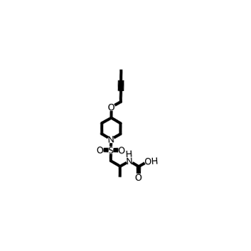 CC#CCOC1CCN(S(=O)(=O)CC(C)NC(=O)O)CC1